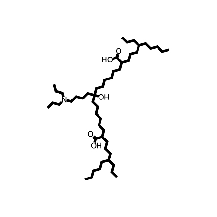 CCCCCC(CCC)CCCC(CCCCCCC(O)(CCCCCCC(CCCC(CCC)CCCCC)C(=O)O)CCCCN(CCC)CCC)C(=O)O